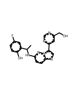 CC(Nc1ccc2ncc(-c3cc(CO)ncn3)n2n1)c1cc(F)ccc1O